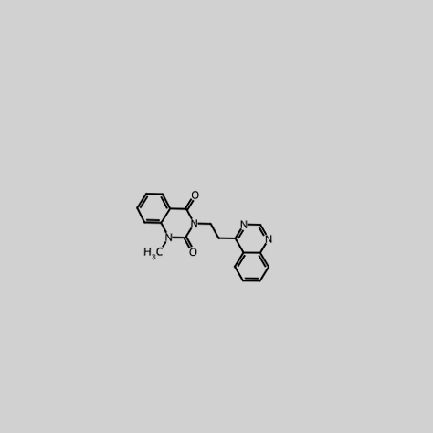 Cn1c(=O)n(CCc2ncnc3ccccc23)c(=O)c2ccccc21